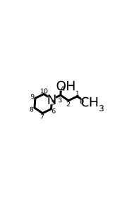 CCCC(O)N1CCCCC1